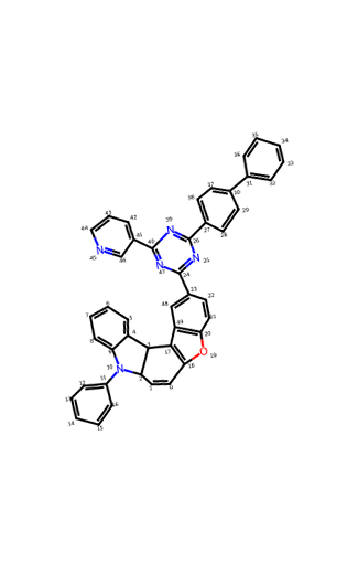 C1=CC2C(c3ccccc3N2c2ccccc2)c2c1oc1ccc(-c3nc(-c4ccc(-c5ccccc5)cc4)nc(-c4cccnc4)n3)cc21